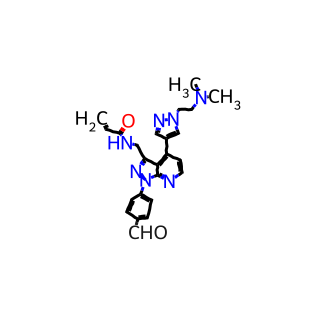 C=CC(=O)NCc1nn(-c2ccc(C=O)cc2)c2nccc(-c3cnn(CCN(C)C)c3)c12